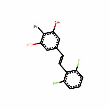 CC(C)c1c(O)cc(C=Cc2c(F)cccc2F)cc1O